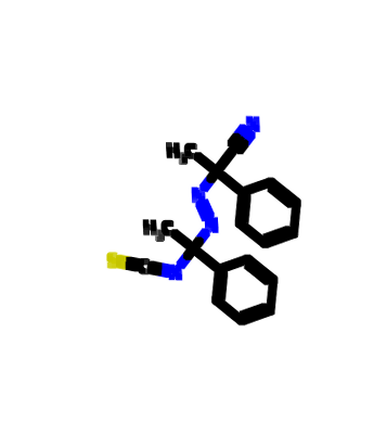 CC(C#N)(N=NC(C)(N=C=S)c1ccccc1)c1ccccc1